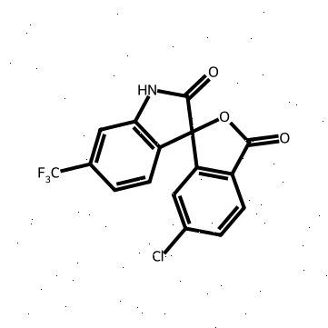 O=C1OC2(C(=O)Nc3cc(C(F)(F)F)ccc32)c2cc(Cl)ccc21